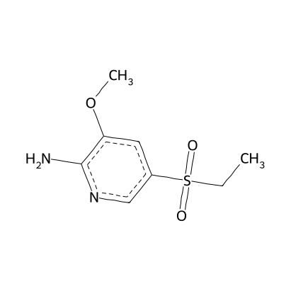 CCS(=O)(=O)c1cnc(N)c(OC)c1